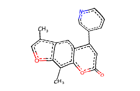 Cc1coc2c(C)c3oc(=O)cc(-c4cccnc4)c3cc12